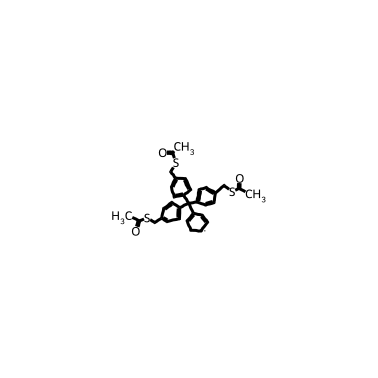 CC(=O)SCc1ccc(C(C2=CC[CH]C=C2)(c2ccc(CSC(C)=O)cc2)c2ccc(CSC(C)=O)cc2)cc1